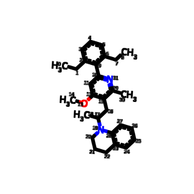 CCc1cccc(CC)c1-c1cc(OC)c(CC(C)N2CCCc3ccccc32)c(C)n1